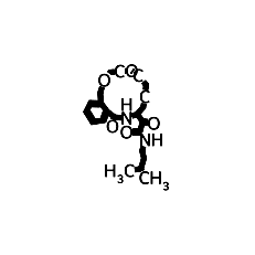 CC(C)CCNC(=O)C(=O)C1CCCCOCCOCc2ccccc2C(=O)N1